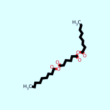 CCCCCCCCC(=O)OC(=O)CCCCC(=O)OC(=O)CCCCCCCC